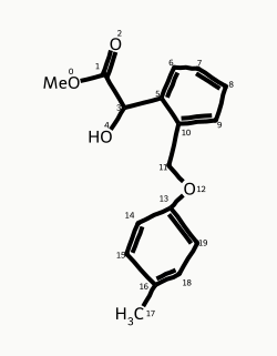 COC(=O)C(O)c1ccccc1COc1ccc(C)cc1